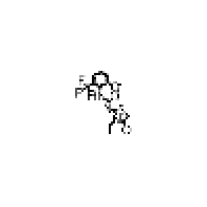 CCN1C(=O)CSC1=NC(=O)Nc1c(OC)cccc1C(F)(F)F